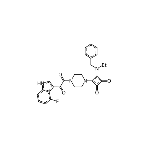 CCN(Cc1ccccc1)c1c(N2CCN(C(=O)C(=O)c3c[nH]c4cccc(F)c34)CC2)c(=O)c1=O